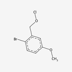 COc1ccc(Br)c(COCl)c1